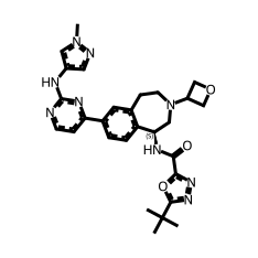 Cn1cc(Nc2nccc(-c3ccc4c(c3)CCN(C3COC3)C[C@H]4NC(=O)c3nnc(C(C)(C)C)o3)n2)cn1